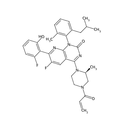 C=CC(=O)N1CCN(c2nc(=O)n(-c3c(C)cccc3CC(C)C)c3nc(-c4c(O)cccc4F)c(F)cc23)[C@@H](C)C1